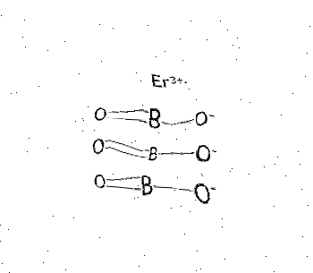 O=B[O-].O=B[O-].O=B[O-].[Er+3]